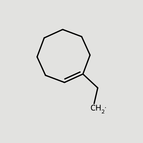 [CH2]C/C1=C/CCCCCC1